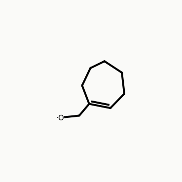 [O]CC1=CCCCCC1